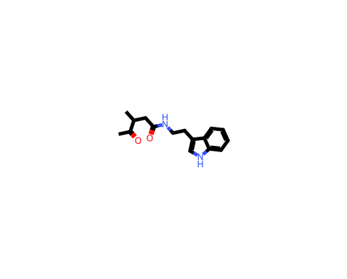 CC(=O)C(C)CC(=O)NCCc1c[nH]c2ccccc12